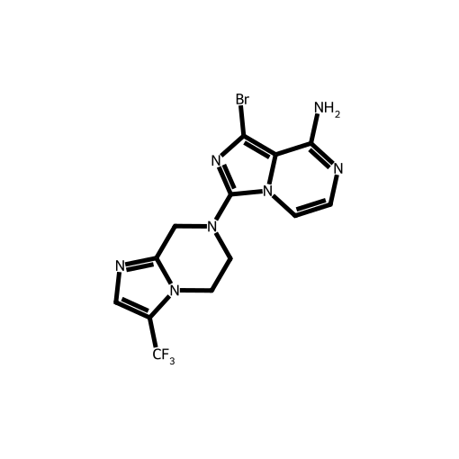 Nc1nccn2c(N3CCn4c(C(F)(F)F)cnc4C3)nc(Br)c12